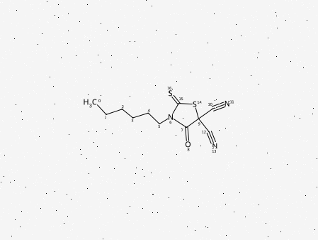 CCCCCCN1C(=O)C(C#N)(C#N)SC1=S